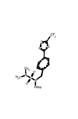 CON(Cc1ccc(-c2noc(C(F)(F)F)n2)cc1)S(=O)(=O)N(C)C